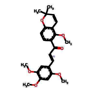 COc1cc(OC)c(OC)cc1/C=C/C(=O)c1ccc2c(c1OC)C=CC(C)(C)O2